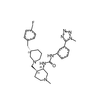 CN1CC[C@@H](CN2CCC[C@@H](Cc3ccc(F)cc3)C2)[C@@H](NC(=O)Nc2cccc(-c3nnnn3C)c2)C1